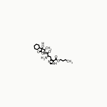 CCCCOC(=O)c1[nH]cnc1C[C@H](N)C(=O)N[C@@H](C)C(O)(C(=O)O)C1CCCCC1